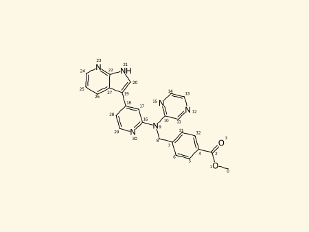 COC(=O)c1ccc(CN(c2cnccn2)c2cc(-c3c[nH]c4ncccc34)ccn2)cc1